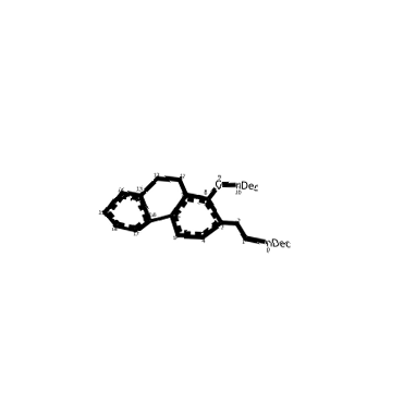 CCCCCCCCCCCCc1ccc2c(c1OCCCCCCCCCC)CCc1ccccc1-2